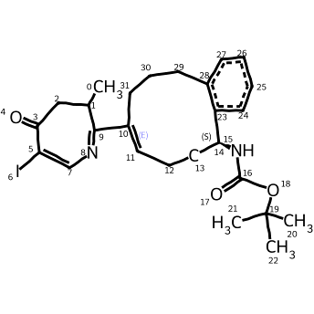 CC1CC(=O)C(I)=CN=C1/C1=C/CC[C@H](NC(=O)OC(C)(C)C)c2ccccc2CCC1